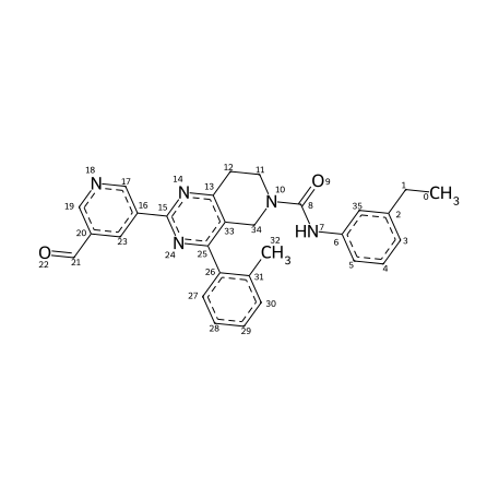 CCc1cccc(NC(=O)N2CCc3nc(-c4cncc(C=O)c4)nc(-c4ccccc4C)c3C2)c1